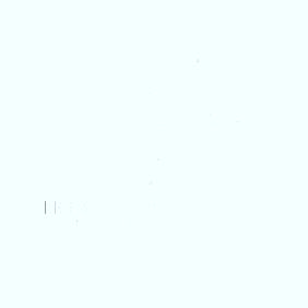 O=C(O)CCC1(c2ccccc2)C=CC=C2C1=Cc1c2cccc1-c1ccccc1